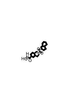 O=C(NO)c1ccc2c(c1)CCN(S(=O)(=O)c1ccc3ccccc3c1)C2